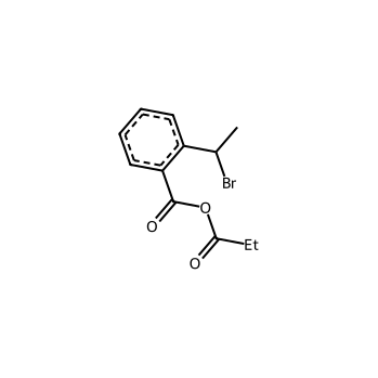 CCC(=O)OC(=O)c1ccccc1C(C)Br